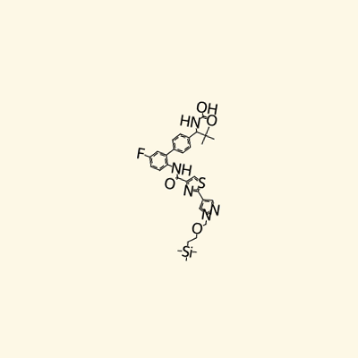 CC(C)(C)C(NC(=O)O)c1ccc(-c2cc(F)ccc2NC(=O)c2csc(-c3cnn(COCC[Si](C)(C)C)c3)n2)cc1